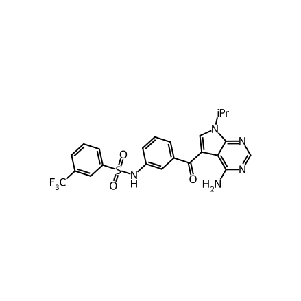 CC(C)n1cc(C(=O)c2cccc(NS(=O)(=O)c3cccc(C(F)(F)F)c3)c2)c2c(N)ncnc21